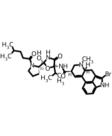 CC(C)CCC(=O)N1CCC[C@H]1[C@@]1(O)NC(=O)[C@@](NC(=O)[C@@H]2C=C3c4cccc5[nH]c(Br)c(c45)C[C@H]3N(C)C2)(C(C)C)O1